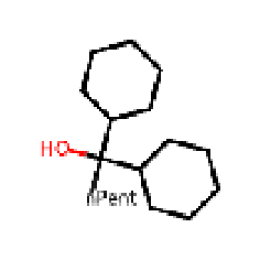 CCCCCC(O)(C1CCCCC1)C1CCCCC1